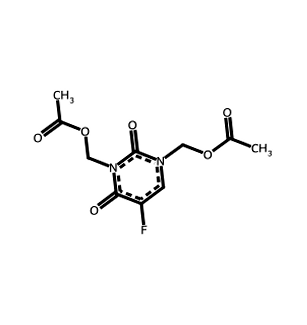 CC(=O)OCn1cc(F)c(=O)n(COC(C)=O)c1=O